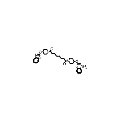 C=C(OC1CCN(C(=O)CCCCCCC(=O)N2CCC(Oc3nc4ccccc4s3)CC2)CC1)Sc1ccccc1N